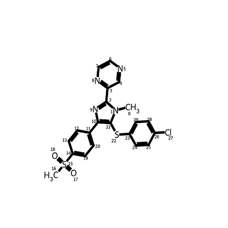 Cn1c(-c2cnccn2)nc(-c2ccc(S(C)(=O)=O)cc2)c1Sc1ccc(Cl)cc1